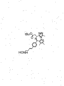 Cc1sc2c(c1C)C(c1ccc(/C=C/CCNO)cc1)=N[C@@H](CC(=O)OC(C)(C)C)c1nnc(C)n1-2